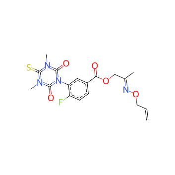 C=CCON=C(C)COC(=O)c1ccc(F)c(-n2c(=O)n(C)c(=S)n(C)c2=O)c1